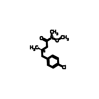 CON(C)C(=O)C[C@@H](C)Cc1ccc(Cl)cc1